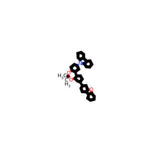 CC1(C)Oc2cc(-c3ccc4c(c3)oc3ccccc34)ccc2-c2cc(-n3c4ccccc4c4ccccc43)ccc2O1